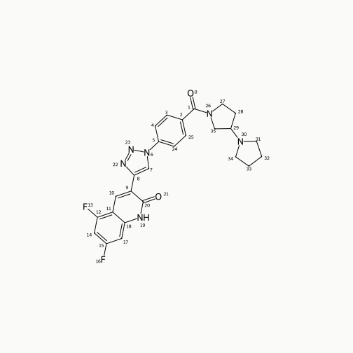 O=C(c1ccc(-n2cc(-c3cc4c(F)cc(F)cc4[nH]c3=O)nn2)cc1)N1CCC(N2CCCC2)C1